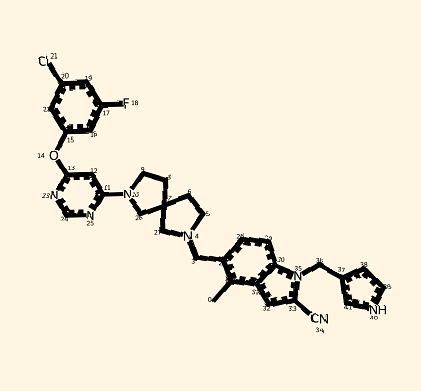 Cc1c(CN2CCC3(CCN(c4cc(Oc5cc(F)cc(Cl)c5)ncn4)C3)C2)ccc2c1cc(C#N)n2Cc1cc[nH]c1